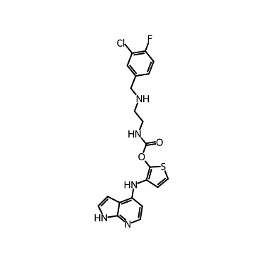 O=C(NCCNCc1ccc(F)c(Cl)c1)Oc1sccc1Nc1ccnc2[nH]ccc12